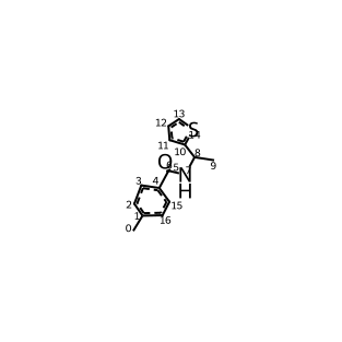 Cc1ccc(C(=O)NC(C)c2cccs2)cc1